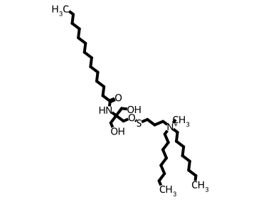 CCCCCCCCCCCCCC(=O)NC(CO)(CO)COSCCC[N+](C)(CCCCCCCC)CCCCCCCC